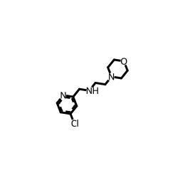 Clc1ccnc(CNCCN2CCOCC2)c1